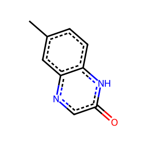 Cc1ccc2[nH]c(=O)cnc2c1